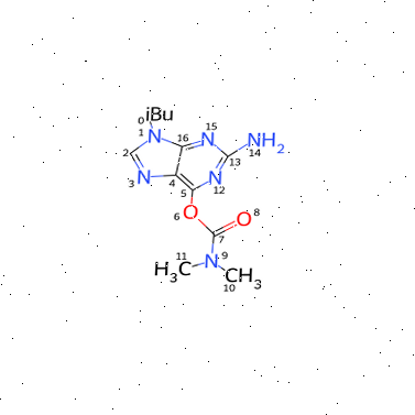 CCC(C)n1cnc2c(OC(=O)N(C)C)nc(N)nc21